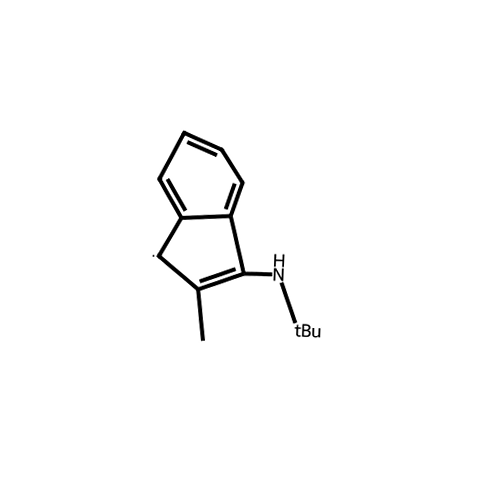 CC1=C(NC(C)(C)C)c2ccccc2[CH]1